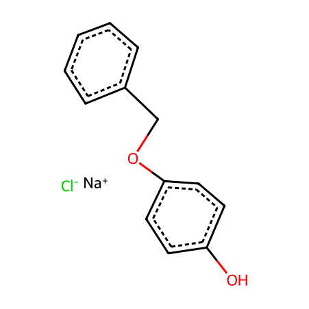 Oc1ccc(OCc2ccccc2)cc1.[Cl-].[Na+]